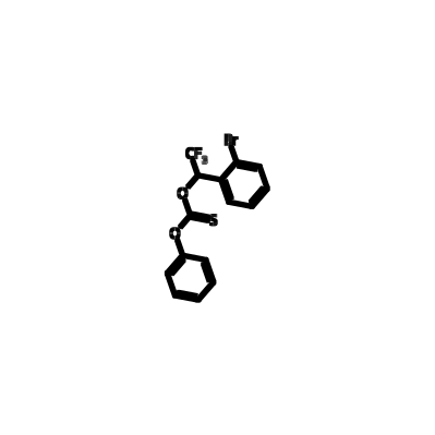 FC(F)(F)C(OC(=S)Oc1ccccc1)c1ccccc1Br